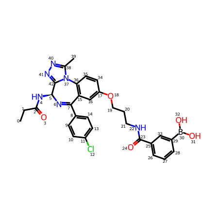 CCC(=O)N[C@@H]1N=C(c2ccc(Cl)cc2)c2cc(OCCCNC(=O)c3cccc(B(O)O)c3)ccc2-n2c(C)nnc21